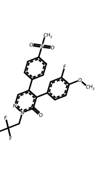 COc1ccc(-c2c(-c3ccc(S(C)(=O)=O)cc3)cnn(CC(F)(F)F)c2=O)cc1F